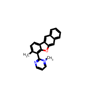 Cc1ccc2c(oc3cc4ccccc4cc32)c1-c1nccc[n+]1C